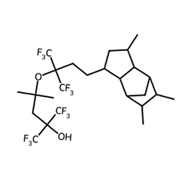 CC1CC(CCC(OC(C)(C)CC(O)(C(F)(F)F)C(F)(F)F)(C(F)(F)F)C(F)(F)F)C2C3CC(C(C)C3C)C12